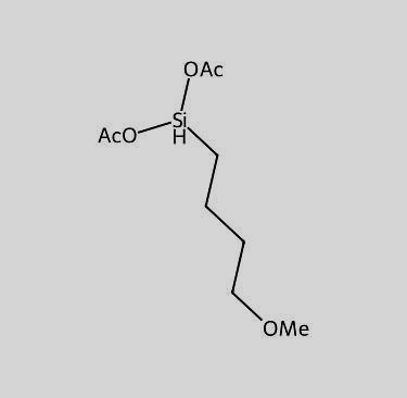 COCCCC[SiH](OC(C)=O)OC(C)=O